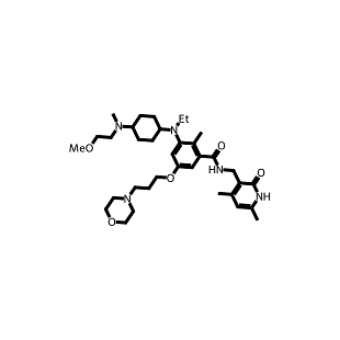 CCN(c1cc(OCCCN2CCOCC2)cc(C(=O)NCc2c(C)cc(C)[nH]c2=O)c1C)C1CCC(N(C)CCOC)CC1